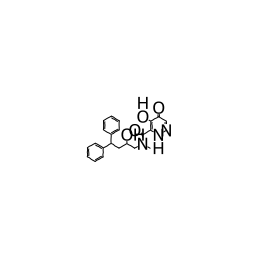 CN(CC(O)CC(c1ccccc1)c1ccccc1)C(=O)c1[nH]ncc(=O)c1O